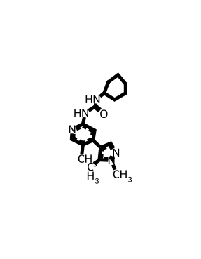 Cc1cnc(NC(=O)NC2CCCCC2)cc1-c1cnn(C)c1C